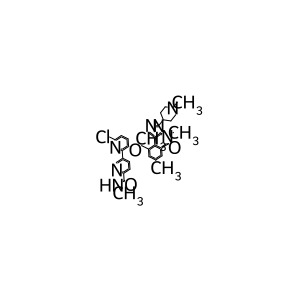 CNC(=O)c1ccc(-c2nc(Cl)ccc2OC(C)c2cc(C)cc3c(=O)n(C)c4c(cnn4C4CCN(C)CC4)c23)cn1